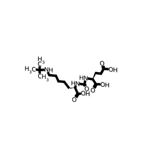 CC(C)(C)NCCCCC[C@H](NC(=O)N[C@@H](CCC(=O)O)C(=O)O)C(=O)O